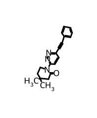 CC1(C)CCN(c2ccc(C#Cc3ccccc3)nn2)C(=O)C1